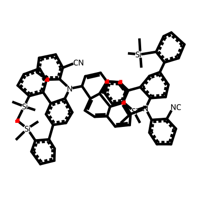 [C-]#[N+]c1ccccc1N(C1=C2C=CC3=C4C(=CC=C(C=C1)C24)C(N(c1ccccc1C#N)c1ccc(-c2ccccc2[Si](C)(C)C)cc1-c1ccccc1[Si](C)(C)C)C=C3)c1ccc(-c2ccccc2[Si](C)(C)C)cc1-c1ccccc1[Si](C)(C)C